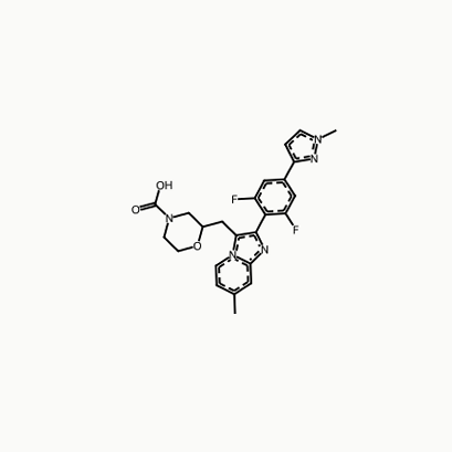 Cc1ccn2c(CC3CN(C(=O)O)CCO3)c(-c3c(F)cc(-c4ccn(C)n4)cc3F)nc2c1